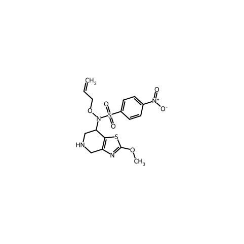 C=CCON(C1CNCc2nc(OC)sc21)S(=O)(=O)c1ccc([N+](=O)[O-])cc1